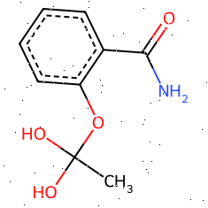 CC(O)(O)Oc1ccccc1C(N)=O